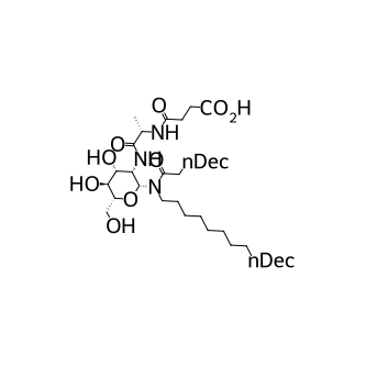 CCCCCCCCCCCCCCCCCCN(C(=O)CCCCCCCCCCC)[C@@H]1O[C@H](CO)[C@@H](O)[C@H](O)[C@@H]1NC(=O)[C@H](C)NC(=O)CCC(=O)O